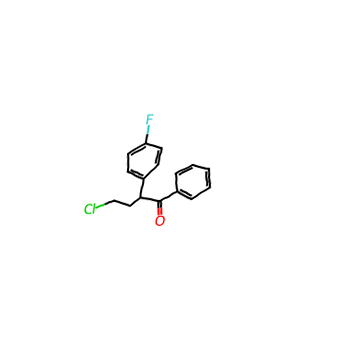 O=C(c1ccccc1)C(CCCl)c1ccc(F)cc1